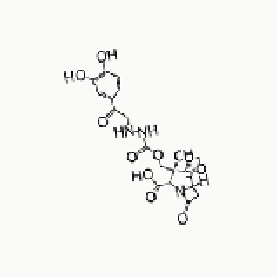 C[C@]1(COC(=O)NNCC(=O)c2ccc(O)c(O)c2)[C@H](C(=O)O)N2C(=O)C[C@H]2S1(=O)=O